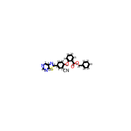 N#Cc1cc(-c2nc3cncnc3s2)ccc1Oc1ccccc1C(=O)OCc1ccccc1